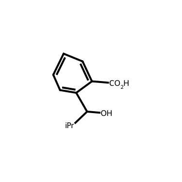 CC(C)C(O)c1ccccc1C(=O)O